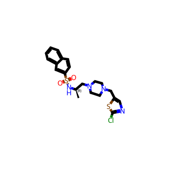 C[C@H](CN1CCN(Cc2cnc(Cl)s2)CC1)NS(=O)(=O)c1ccc2ccccc2c1